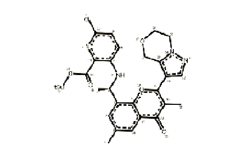 Cc1cc([C@@H](C)Nc2ccc(Cl)nc2C(=O)OC(C)(C)C)c2oc(-c3cnn4c3COCC4)c(C)c(=O)c2c1